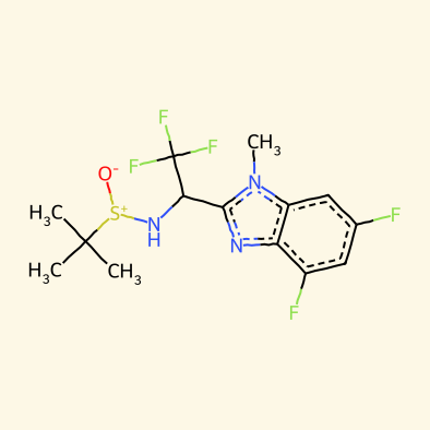 Cn1c(C(N[S+]([O-])C(C)(C)C)C(F)(F)F)nc2c(F)cc(F)cc21